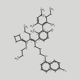 CC/C=C(C)\C(=C(\C)C(C)CC)c1c(Cl)ccc(/C(CCCOc2cccc3cc(F)ccc23)=C(\CCC)C(OCCC)=C2CCC2)c1C